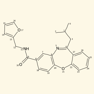 CC(C)CC1=Nc2cc(C(=O)NCc3ccco3)ccc2Oc2ccccc21